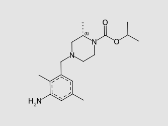 Cc1cc(N)c(C)c(CN2CCN(C(=O)OC(C)C)[C@@H](C)C2)c1